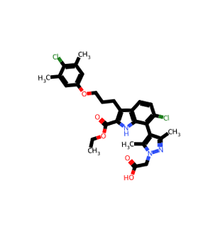 CCOC(=O)c1[nH]c2c(-c3c(C)nn(CC(=O)O)c3C)c(Cl)ccc2c1CCCOc1cc(C)c(Cl)c(C)c1